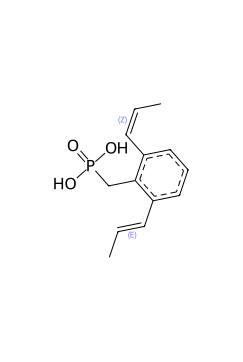 C/C=C\c1cccc(/C=C/C)c1CP(=O)(O)O